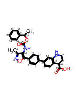 Cc1noc(-c2ccc(-c3ccc4c(c3)NCCC4C(=O)O)cc2)c1NC(=O)OC(C)c1ccccc1